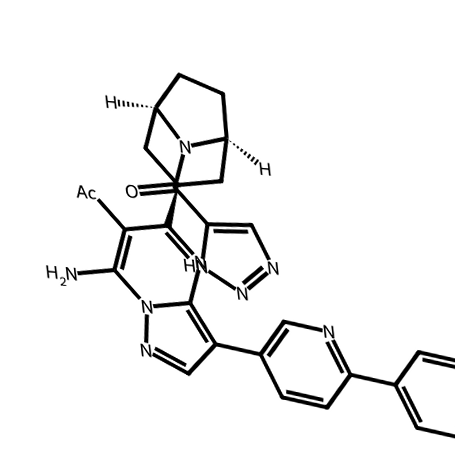 CC(=O)c1c([C@H]2C[C@H]3CC[C@@H](C2)N3C(=O)c2cnn[nH]2)nc2c(-c3ccc(-c4ccccc4)nc3)cnn2c1N